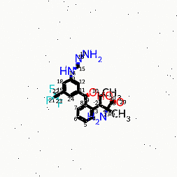 CCC(c1ccccc1C(=O)c1cc(NC=NN)cc(C(F)(F)F)c1)C(C)(N)C(=O)O